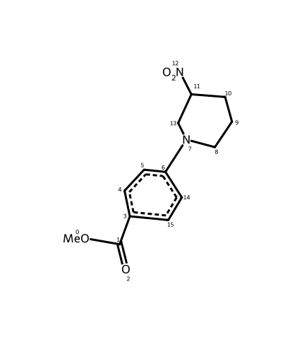 COC(=O)c1ccc(N2CCCC([N+](=O)[O-])C2)cc1